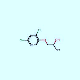 CCCC(O)COc1ccc(Cl)cc1Cl